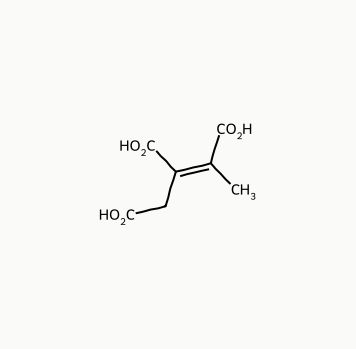 C/C(C(=O)O)=C(\CC(=O)O)C(=O)O